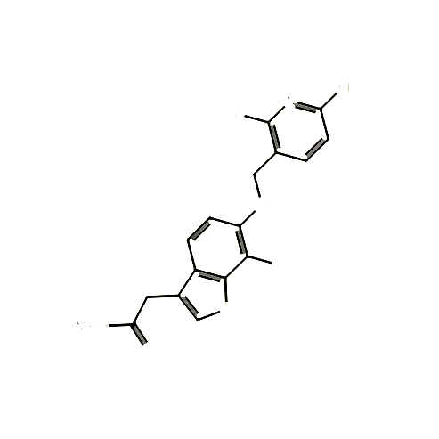 COC(=O)Cc1coc2c(Cl)c(OCc3ccc(C)nc3C)ccc12